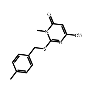 Cc1ccc(CSc2nc(O)cc(=O)n2C)cc1